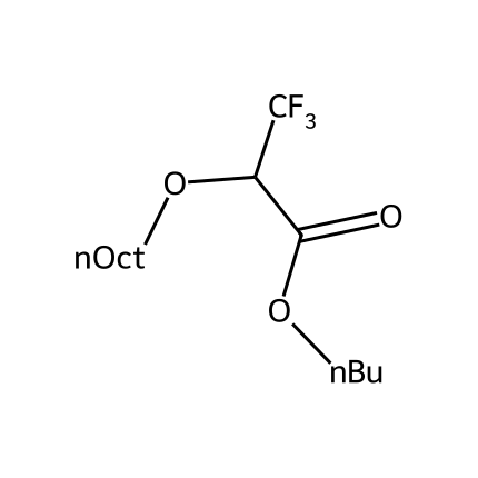 CCCCCCCCOC(C(=O)OCCCC)C(F)(F)F